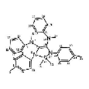 Cc1ccc(N2C(N(C)c3ccccc3)=C(N(C)c3ccccc3)N(c3ccc(C)cc3)[Si]2(C)C)cc1